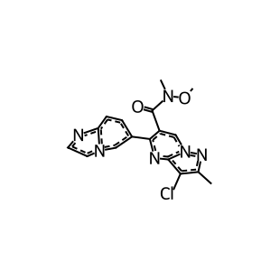 CON(C)C(=O)c1cn2nc(C)c(Cl)c2nc1-c1ccc2nccn2c1